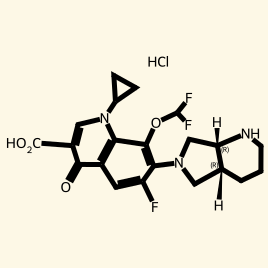 Cl.O=C(O)c1cn(C2CC2)c2c(OC(F)F)c(N3C[C@H]4CCCN[C@H]4C3)c(F)cc2c1=O